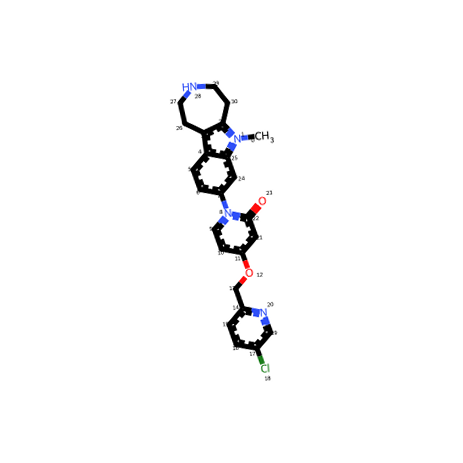 Cn1c2c(c3ccc(-n4ccc(OCc5ccc(Cl)cn5)cc4=O)cc31)CCNCC2